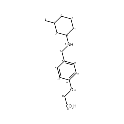 CC1CCCC(NCc2ccc(OCC(=O)O)cc2)C1